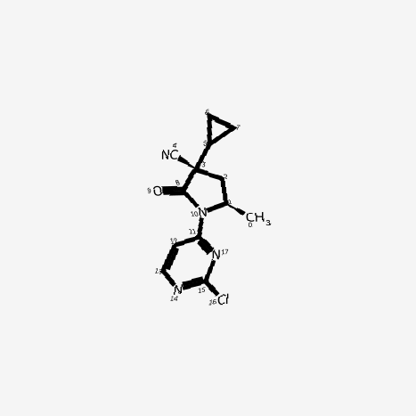 C[C@@H]1C[C@@](C#N)(C2CC2)C(=O)N1c1ccnc(Cl)n1